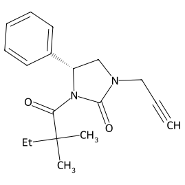 C#CCN1C[C@@H](c2ccccc2)N(C(=O)C(C)(C)CC)C1=O